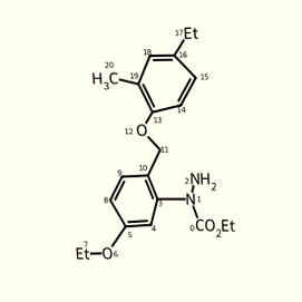 CCOC(=O)N(N)c1cc(OCC)ccc1COc1ccc(CC)cc1C